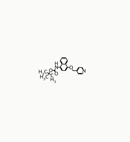 CC(C)(C)OC(=O)Nc1ccc(OCc2ccncc2)c2ccccc12